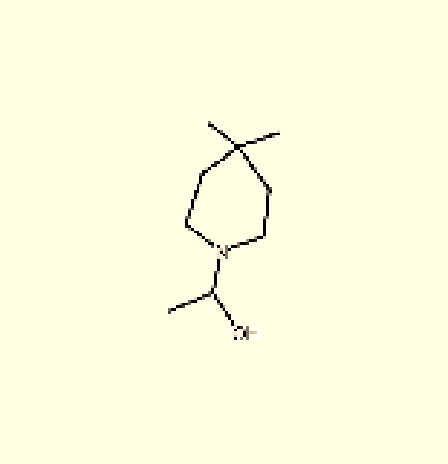 CC(O)N1CCC(C)(C)CC1